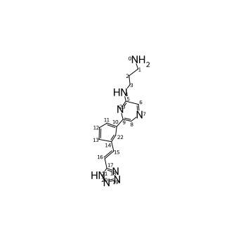 NCCCNc1cncc(-c2cccc(C=Cc3nnn[nH]3)c2)n1